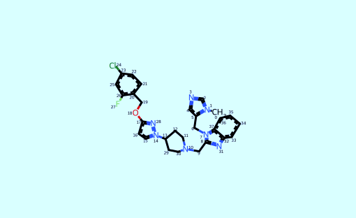 Cn1cncc1Cn1c(CN2CCC(n3ccc(OCc4ccc(Cl)cc4F)n3)CC2)nc2ccccc21